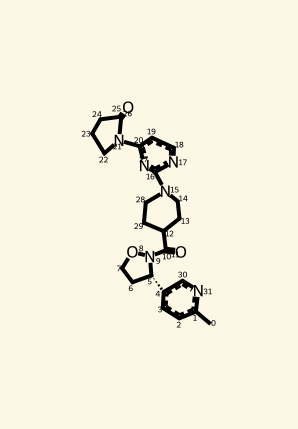 Cc1ccc([C@@H]2CCON2C(=O)C2CCN(c3nccc(N4CCCC4=O)n3)CC2)cn1